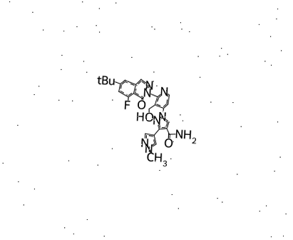 Cn1cc(-c2nn(-c3ccnc(-n4ncc5cc(C(C)(C)C)cc(F)c5c4=O)c3CO)cc2C(N)=O)cn1